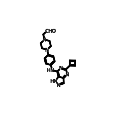 O=CCN1CCN(c2ccc(Nc3nc(C4=CC=C4)nc4cn[nH]c34)cc2)CC1